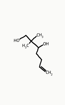 C=CCCC(O)C(C)(C)CO